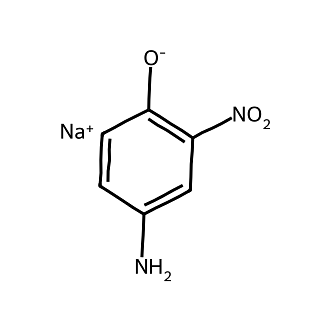 Nc1ccc([O-])c([N+](=O)[O-])c1.[Na+]